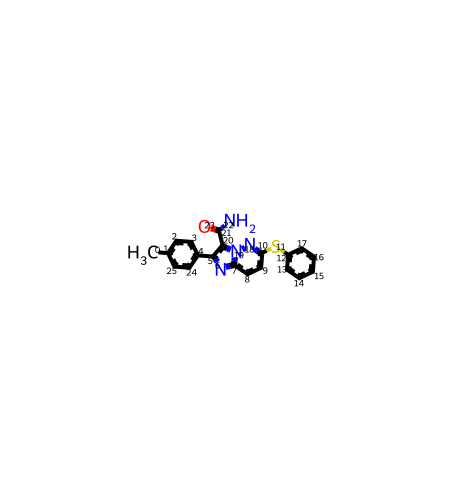 Cc1ccc(-c2nc3ccc(Sc4ccccc4)nn3c2C(N)=O)cc1